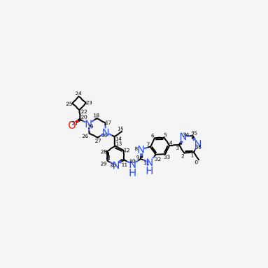 Cc1cc(-c2ccc3nc(Nc4cc(C(C)N5CCN(C(=O)C6CCC6)CC5)ccn4)[nH]c3c2)ncn1